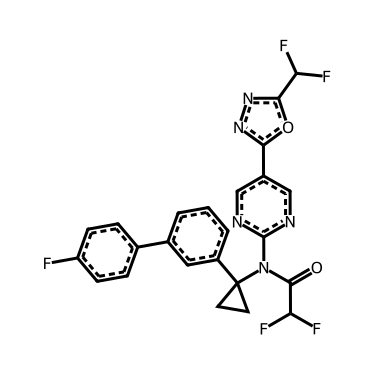 O=C(C(F)F)N(c1ncc(-c2nnc(C(F)F)o2)cn1)C1(c2cccc(-c3ccc(F)cc3)c2)CC1